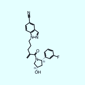 C=C(CCCn1ncc2cc(C#N)ccc21)C(=O)N1C[C@@H](O)C[C@H]1c1cccc(F)c1